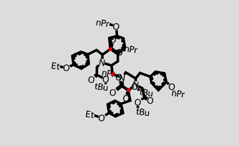 CCCOC(=O)C(Cc1ccc(OCC)cc1)N(CC(=O)OC(C)(C)C)C(Cc1ccc(OCCC)cc1)CN(CC(=O)OC(C)(C)C)CC(Cc1ccc(OCCC)cc1)N(CC(=O)OC(C)(C)C)C(Cc1ccc(OCC)cc1)C(=O)OCCC